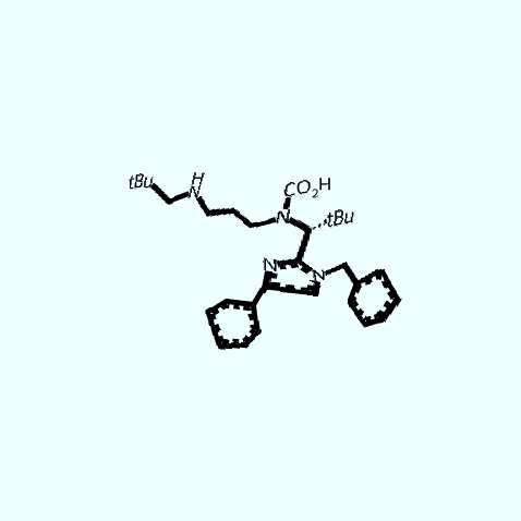 CC(C)(C)CNCCCN(C(=O)O)[C@@H](c1nc(-c2ccccc2)cn1Cc1ccccc1)C(C)(C)C